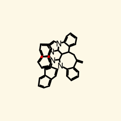 C=C1CC2c3ccccc3N3C=CN(c4ccccc4)C3C2C2N(c3ccccc3)c3cc4ccccc4cc3N2c2ccccc21